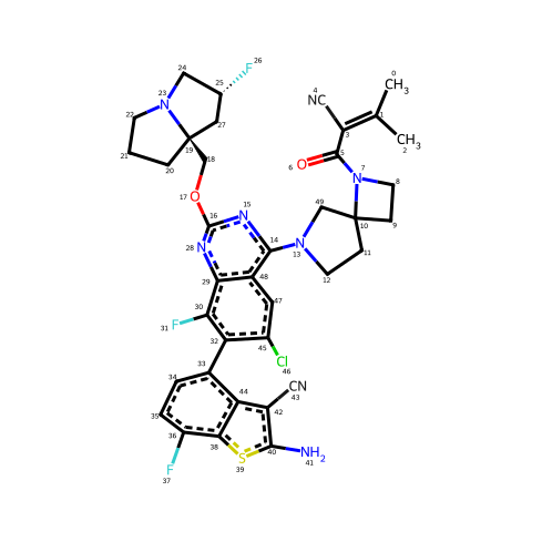 CC(C)=C(C#N)C(=O)N1CCC12CCN(c1nc(OC[C@@]34CCCN3C[C@H](F)C4)nc3c(F)c(-c4ccc(F)c5sc(N)c(C#N)c45)c(Cl)cc13)C2